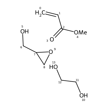 C=CC(=O)OC.OCC1CO1.OCCO